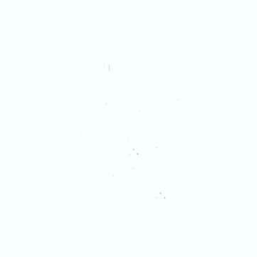 CC(C#N)N(Cc1cccc(S(=O)(=O)O)c1)c1ccccc1